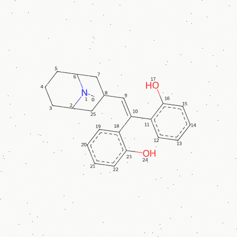 CN1C2CCCC1CC(C=C(c1ccccc1O)c1ccccc1O)C2